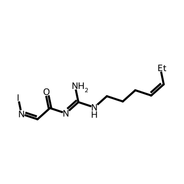 CC/C=C\CCCN/C(N)=N/C(=O)/C=N\I